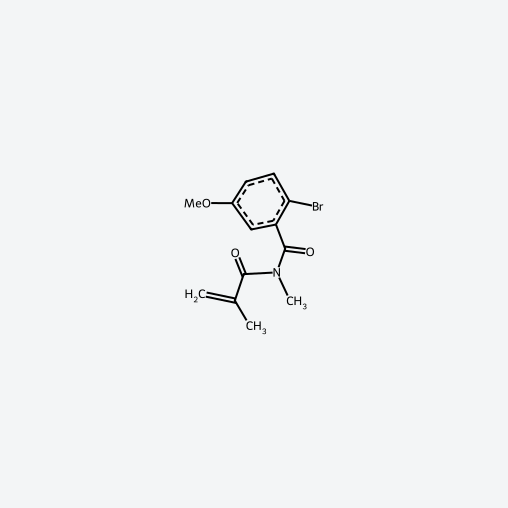 C=C(C)C(=O)N(C)C(=O)c1cc(OC)ccc1Br